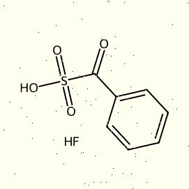 F.O=C(c1ccccc1)S(=O)(=O)O